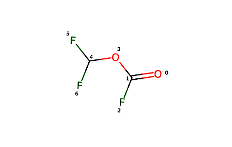 O=C(F)OC(F)F